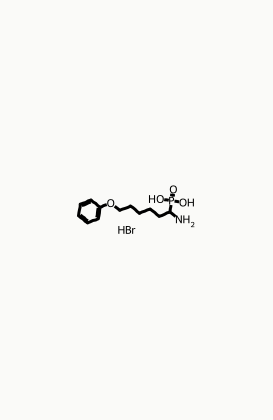 Br.NC(CCCCCOc1ccccc1)P(=O)(O)O